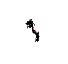 Cc1ccc(N2C(=O)CSC2=NC(=O)NCCCCc2ccc(-c3ncn(-c4ccc(OC(F)(F)F)cc4)n3)cc2)c(C)c1